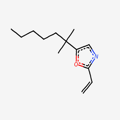 C=Cc1ncc(C(C)(C)CCCCC)o1